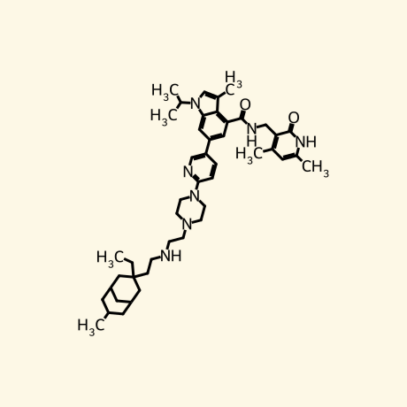 CCC1(CCNCCN2CCN(c3ccc(-c4cc(C(=O)NCc5c(C)cc(C)[nH]c5=O)c5c(C)cn(C(C)C)c5c4)cn3)CC2)CC2CC(C)CC(C2)C1